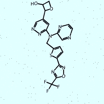 OC1COC1c1cnnc(N(Cc2ccc(-c3noc(C(F)(F)F)n3)s2)c2cnccn2)c1